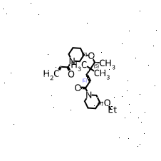 C=CC(=O)N1CCC[C@@H](O[C@@H](C)C(C)(C)/C=C/C(=O)N2CCC[C@@H](OCC)C2)C1